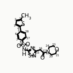 Cc1ccc(-c2ccc(S(=O)(=O)Nc3nc(CC(=O)N4CCOCC4)ns3)cc2)s1